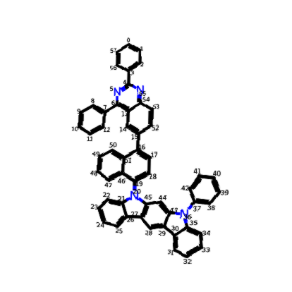 c1ccc(-c2nc(-c3ccccc3)c3cc(-c4ccc(-n5c6ccccc6c6cc7c8ccccc8n(-c8ccccc8)c7cc65)c5ccccc45)ccc3n2)cc1